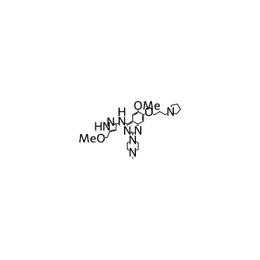 COCc1cc(Nc2nc(N3CCN(C)CC3)nc3cc(OCCCN4CCCC4)c(OC)cc23)n[nH]1